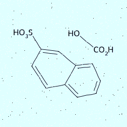 O=C(O)O.O=S(=O)(O)c1ccc2ccccc2c1